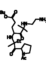 CCC(C)(NC(CCC(=O)OC(C)(C)C)C(=O)C(C)(C)NCCN)C(=O)C1CCCN1C(C)=O